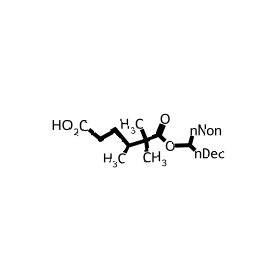 CCCCCCCCCCC(CCCCCCCCC)OC(=O)C(C)(C)C(C)CCC(=O)O